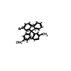 Cc1ccc(C)c(C2(c3ccc(C=O)cc3)c3ccccc3-c3ccc(Br)cc32)c1